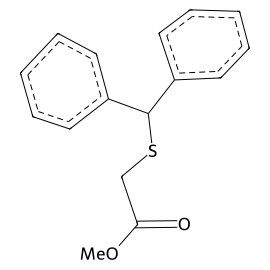 COC(=O)CSC(c1ccccc1)c1ccccc1